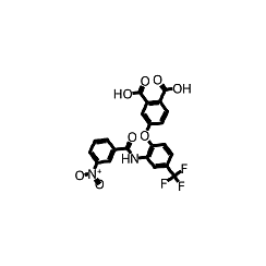 O=C(Nc1cc(C(F)(F)F)ccc1Oc1ccc(C(=O)O)c(C(=O)O)c1)c1cccc([N+](=O)[O-])c1